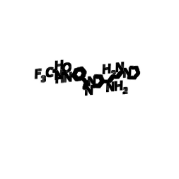 N/C(=C\C=C(/N)N1CCCCC1)c1ccn2c(-c3cccc(NC(=O)NCC(F)(F)F)c3)cnc2c1